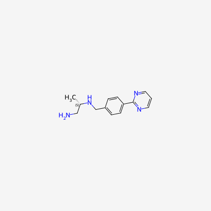 C[C@@H](CN)NCc1ccc(-c2ncccn2)cc1